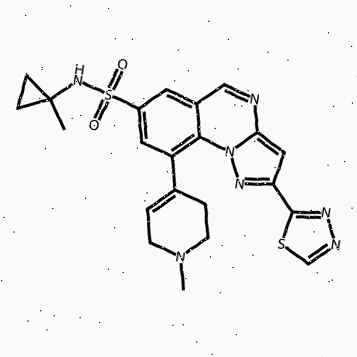 CN1CC=C(c2cc(S(=O)(=O)NC3(C)CC3)cc3cnc4cc(-c5nncs5)nn4c23)CC1